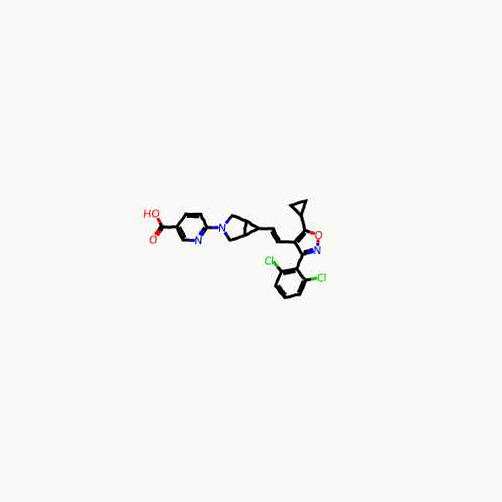 O=C(O)c1ccc(N2CC3C(C=Cc4c(-c5c(Cl)cccc5Cl)noc4C4CC4)C3C2)nc1